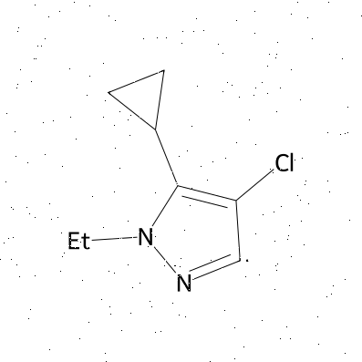 CCn1n[c]c(Cl)c1C1CC1